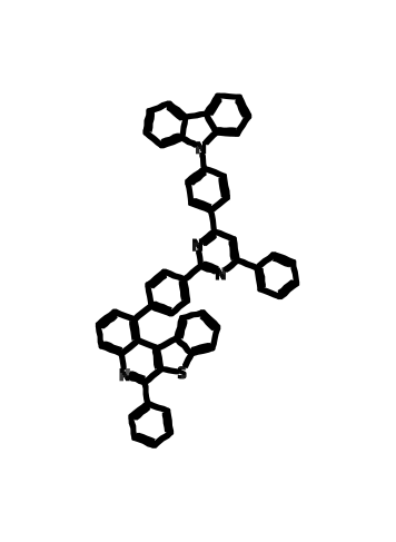 c1ccc(-c2cc(-c3ccc(-n4c5ccccc5c5ccccc54)cc3)nc(-c3ccc(-c4cccc5nc(-c6ccccc6)c6sc7ccccc7c6c45)cc3)n2)cc1